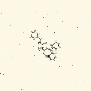 O=C(NC1CNc2ccccc2C(c2ccccc2)=N1)OCc1ccccc1